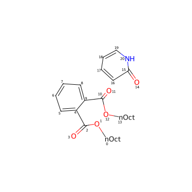 CCCCCCCCOC(=O)c1ccccc1C(=O)OCCCCCCCC.O=c1cccc[nH]1